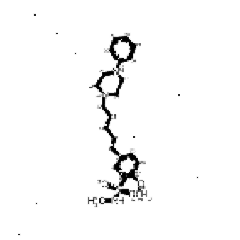 CNS(=O)(=O)c1cc(CCCCCN2CCN(c3ccccc3)CC2)ccc1OC